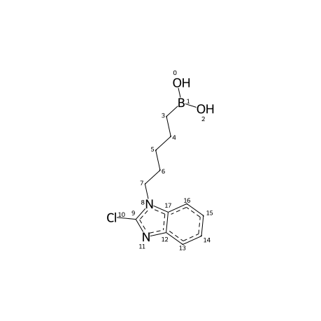 OB(O)CCCCCn1c(Cl)nc2ccccc21